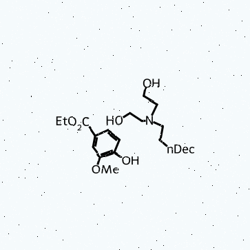 CCCCCCCCCCCCN(CCO)CCO.CCOC(=O)c1ccc(O)c(OC)c1